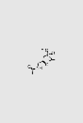 COP(=O)(CC(=O)CNC(C)=O)OC